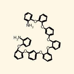 Nc1ccccc1Oc1ccccc1Oc1cccc(Oc2ccccc2Oc2ccccc2Oc2cccc(Oc3ccccc3Oc3ccccc3N)c2)c1